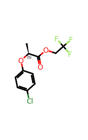 C[C@H](Oc1ccc(Cl)cc1)C(=O)OCC(F)(F)F